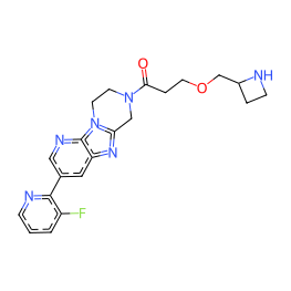 O=C(CCOCC1CCN1)N1CCn2c(nc3cc(-c4ncccc4F)cnc32)C1